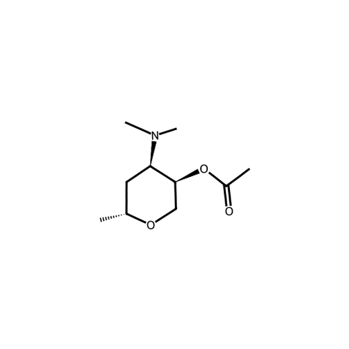 CC(=O)O[C@H]1CO[C@H](C)C[C@H]1N(C)C